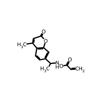 C=CC(=O)ONC(C)c1ccc2c(C)cc(=O)oc2c1